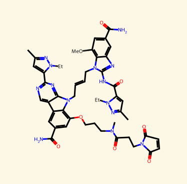 CCn1nc(C)cc1C(=O)Nc1nc2cc(C(N)=O)cc(OC)c2n1C/C=C/Cn1c2nc(-c3cc(C)nn3CC)ncc2c2cc(C(N)=O)cc(OCCCN(C)C(=O)CCN3C(=O)C=CC3=O)c21